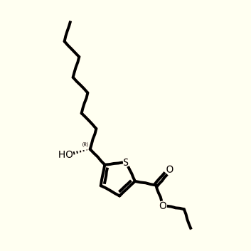 CCCCCCC[C@@H](O)c1ccc(C(=O)OCC)s1